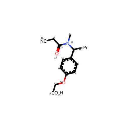 CCCC(c1ccc(OCC(=O)O)cc1)N(C)C(=O)CC#N